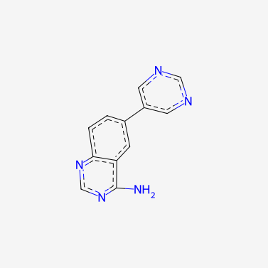 Nc1ncnc2ccc(-c3cncnc3)cc12